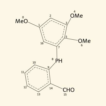 COc1cc(OC)c(OC)c(Pc2ccccc2C=O)c1